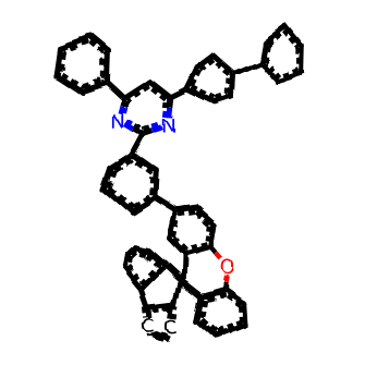 c1ccc(-c2ccc(-c3cc(-c4ccccc4)nc(-c4cccc(-c5ccc6c(c5)C5(c7ccccc7O6)c6ccccc6-c6ccccc65)c4)n3)cc2)cc1